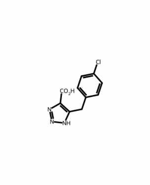 O=C(O)c1nn[nH]c1Cc1ccc(Cl)cc1